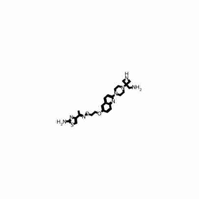 C/C(=N\OCCOc1ccc2nc(N3CCN(C4(CN)CNC4)CC3)ccc2c1)c1csc(N)n1